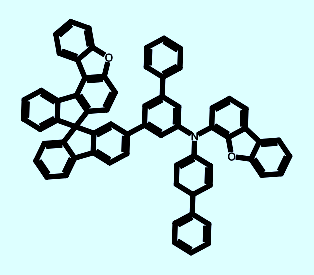 C1=CC(c2ccccc2)CC=C1N(c1cc(-c2ccccc2)cc(-c2ccc3c(c2)C2(c4ccccc4-3)c3ccccc3-c3c2ccc2oc4ccccc4c32)c1)c1cccc2c1oc1ccccc12